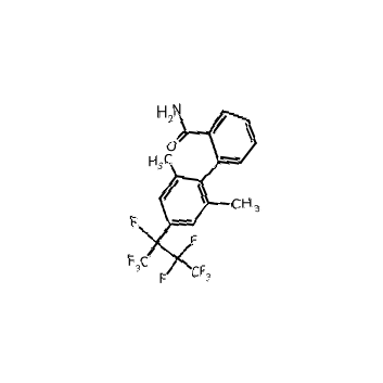 Cc1cc(C(F)(C(F)(F)F)C(F)(F)C(F)(F)F)cc(C)c1-c1ccccc1C(N)=O